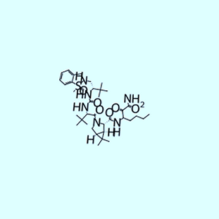 CCCCC(NC(=O)[C@@H]1[C@@H]2[C@H](CN1C(=O)[C@@H](NC(=O)N[C@H](CN1Cc3ccccc3[SH]1(C)=O)C(C)(C)C)C(C)(C)C)C2(C)C)C(=O)C(N)=O